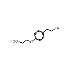 CCCCCCCCCCOc1ccc(CCC#N)cc1